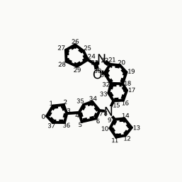 c1ccc(-c2ccc(N(c3ccccc3)c3ccc4ccc5nc(-c6ccccc6)oc5c4c3)cc2)cc1